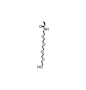 C=CC(=O)NCCOCCOCCOCCOCCO